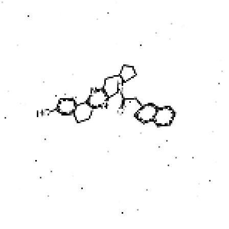 O=C(Cc1ccc2ccccc2c1)Nc1nc2c(nc1CC1CCCC1)-c1ccc(O)cc1CC2